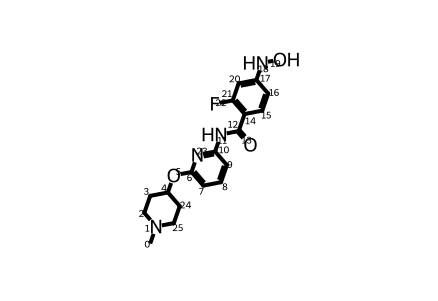 CN1CCC(Oc2cccc(NC(=O)c3ccc(NO)cc3F)n2)CC1